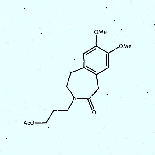 COc1cc2c(cc1OC)CC(=O)N(CCCOC(C)=O)CC2